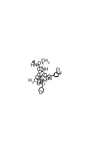 CCC[C@H](NC(=O)[C@@H]1C[C@]2(CC(c3ccc(F)c(Cl)c3)=NO2)CN1C(=O)[C@@H](NC(=O)CC1CCOCC1)C(C)(C)C)C(=O)C(=O)NC1CC1